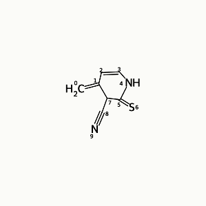 C=C1C=CNC(=S)C1C#N